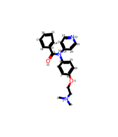 CN(C)CCOc1ccc(N(C(=O)c2ccccc2)c2ccncc2)cc1